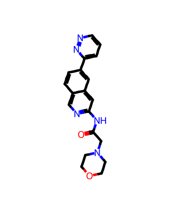 O=C(CN1CCOCC1)Nc1cc2cc(-c3cccnn3)ccc2cn1